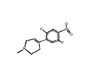 CN1CC=C(c2cc(F)c([N+](=O)[O-])cc2F)CC1